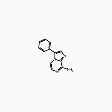 Nc1nccn2c(-c3ccccc3)cnc12